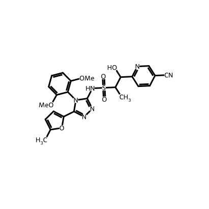 COc1cccc(OC)c1-n1c(NS(=O)(=O)C(C)C(O)c2ccc(C#N)cn2)nnc1-c1ccc(C)o1